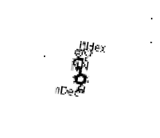 CCCCCCCCCCOc1ccc(-c2ncc(OC(=O)CCCCCC)cn2)cc1